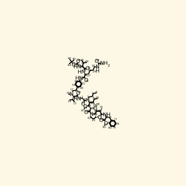 CCCCN(C(=O)CNC(=O)[C@H](C(C)C)N(C)CCc1ccc(NC(=O)[C@H](CCCCNC(N)=O)NC(=O)[C@@H](NC(=O)OC(C)(C)C)C(C)C)cc1)[C@@H]([C@@H](C)CC)[C@@H](CC(=O)N1CCC[C@H]1[C@H](OC)[C@@H](C)C(=O)N[C@@H](Cc1ccccc1)C(=O)OC)OC